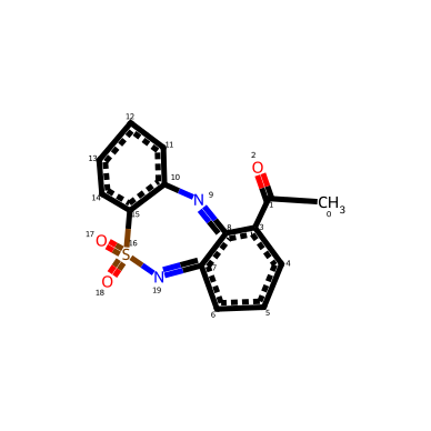 CC(=O)c1cccc2c1=Nc1ccccc1S(=O)(=O)N=2